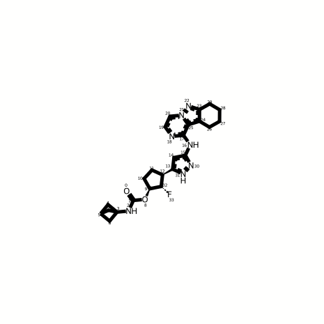 O=C(NC12CC(C1)C2)O[C@H]1CC[C@@H](c2cc(Nc3nccn4nc5c(c34)CCCC5)n[nH]2)[C@@H]1F